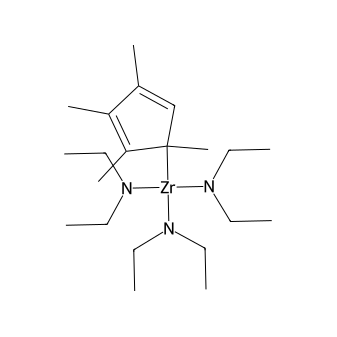 CC[N](CC)[Zr]([N](CC)CC)([N](CC)CC)[C]1(C)C=C(C)C(C)=C1C